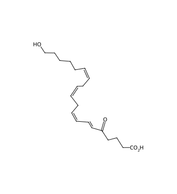 O=C(O)CCCC(=O)/C=C/C=C\C/C=C\C/C=C\CCCCCO